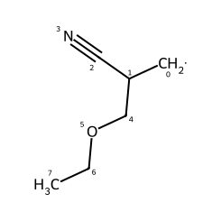 [CH2]C(C#N)COCC